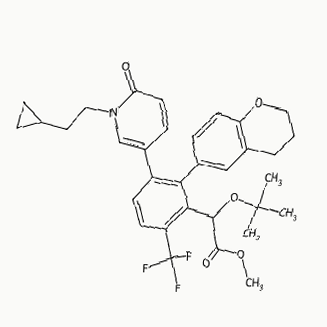 COC(=O)C(OC(C)(C)C)c1c(C(F)(F)F)ccc(-c2ccc(=O)n(CCC3CC3)c2)c1-c1ccc2c(c1)CCCO2